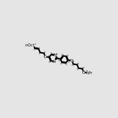 CCCCCCCCC=CCCOc1cnc(-c2ccc(OCCCCOCCC)cc2)nc1